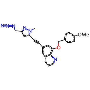 COc1ccc(COc2cc(C#Cc3cc(CN=[N+]=[N-])nn3C)cc3cccnc23)cc1